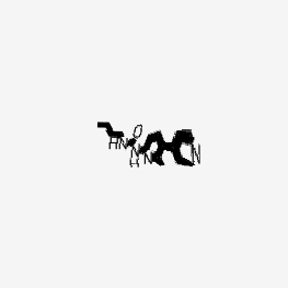 CCCCNC(=O)Nc1ccc(-c2ccncc2)c(C)n1